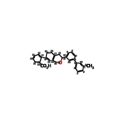 Cc1cccc(-c2cccc(C3Cc4ccc(-c5ccccc5C(=O)O)cc4CO3)c2)c1